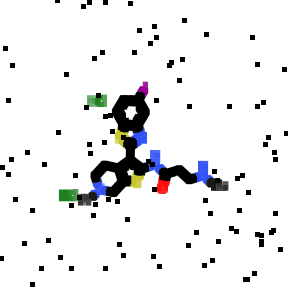 CCC(C)NCCC(=O)Nc1sc2c(c1-c1nc3cc(I)ccc3s1)CCN(C(C)C)C2.Cl.Cl